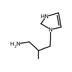 CC(CN)CN1C=CNC1